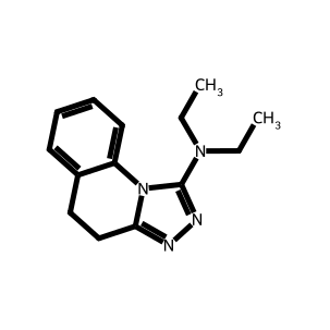 CCN(CC)c1nnc2n1-c1ccccc1CC2